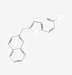 O=Cc1ccc2oc(Cc3ccc4ccccc4c3)cc2c1